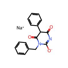 O=C1N=C([O-])N(Cc2ccccc2)C(=O)C1c1ccccc1.[Na+]